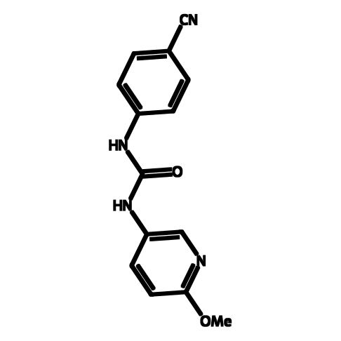 COc1ccc(NC(=O)Nc2ccc(C#N)cc2)cn1